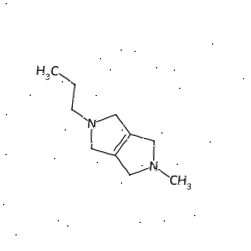 CCCN1CC2=C(CN(C)C2)C1